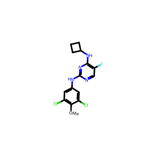 COc1c(Cl)cc(Nc2ncc(F)c(NC3CCC3)n2)cc1Cl